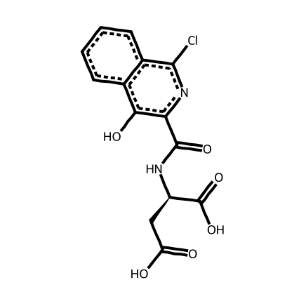 O=C(O)C[C@@H](NC(=O)c1nc(Cl)c2ccccc2c1O)C(=O)O